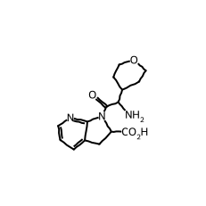 NC(C(=O)N1c2ncccc2CC1C(=O)O)C1CCOCC1